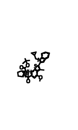 COc1cc(C(=O)N2CC3CCC2[C@@H]3NC(=O)OC(C)(C)C)cc2sc(-c3cc4ccccc4n3CC3CC3)c(C)c12